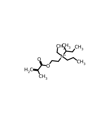 C=C(C)C(=O)OCC[N+](CC)(CCC)C(C)CC